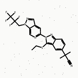 CCSc1c2cc(C(C)(C)C#N)ccc2nn1-c1cc2cnn(CC(F)(F)C(F)(F)F)c2cn1